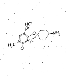 Cl.Cn1cc(Br)c(O[C@]2(C)CC[C@@H](N)CC2)cc1=O